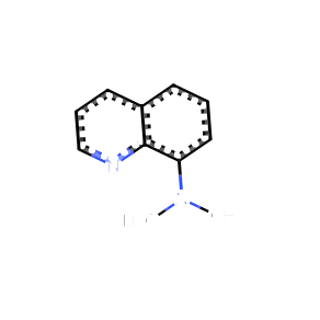 CN(C)c1cccc2cccnc12